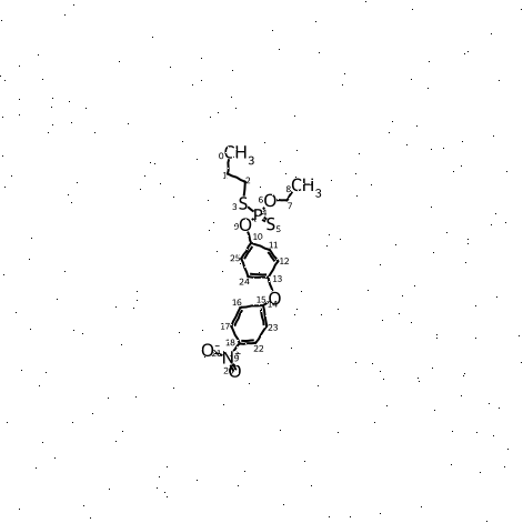 CCCSP(=S)(OCC)Oc1ccc(Oc2ccc([N+](=O)[O-])cc2)cc1